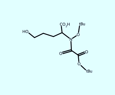 CC(C)(C)OC(=O)C(=O)N(OC(C)(C)C)C(CCCO)C(=O)O